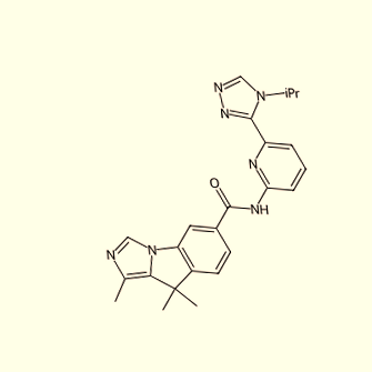 Cc1ncn2c1C(C)(C)c1ccc(C(=O)Nc3cccc(-c4nncn4C(C)C)n3)cc1-2